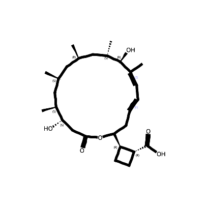 C/C1=C/C=C/CC([C@@H]2CC[C@H]2C(=O)O)OC(=O)C[C@H](O)[C@@H](C)C[C@@H](C)C[C@@H](C)C[C@H](C)[C@H]1O